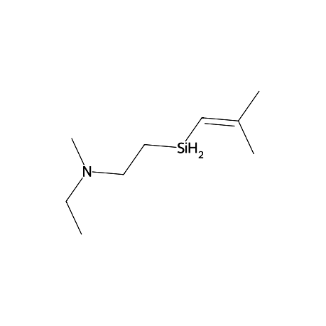 CCN(C)CC[SiH2]C=C(C)C